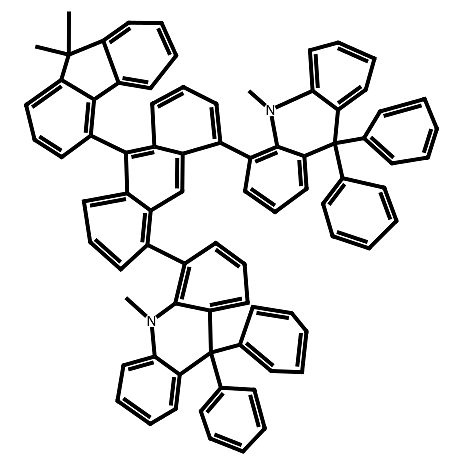 CN1c2ccccc2C(c2ccccc2)(c2ccccc2)c2cccc(-c3cccc4c(-c5cccc6c5-c5ccccc5C6(C)C)c5cccc(-c6cccc7c6N(C)c6ccccc6C7(c6ccccc6)c6ccccc6)c5cc34)c21